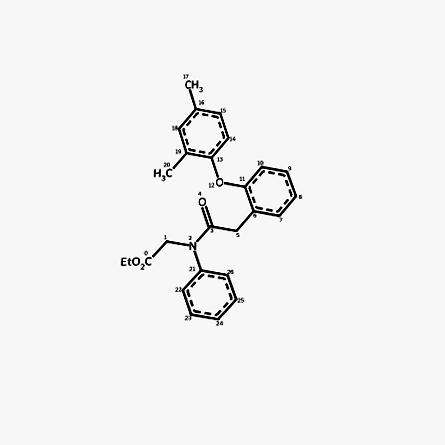 CCOC(=O)CN(C(=O)Cc1ccccc1Oc1ccc(C)cc1C)c1ccccc1